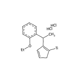 CCOc1ccccc1C(C)C1=[C]([Ti])CC=C1.Cl.Cl